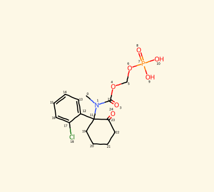 CN(C(=O)OCOP(=O)(O)O)C1(c2ccccc2Cl)CCCCC1=O